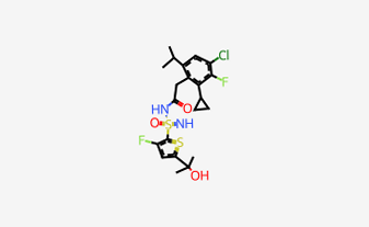 CC(C)c1cc(Cl)c(F)c(C2CC2)c1CC(=O)N[S@@](=N)(=O)c1sc(C(C)(C)O)cc1F